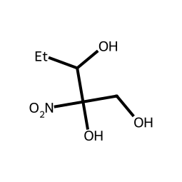 CCC(O)C(O)(CO)[N+](=O)[O-]